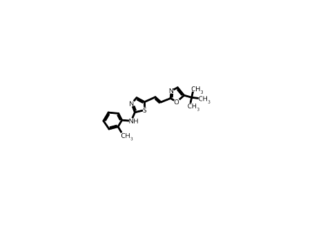 Cc1ccccc1Nc1ncc(C=Cc2ncc(C(C)(C)C)o2)s1